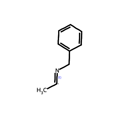 C/[C]=N/Cc1ccccc1